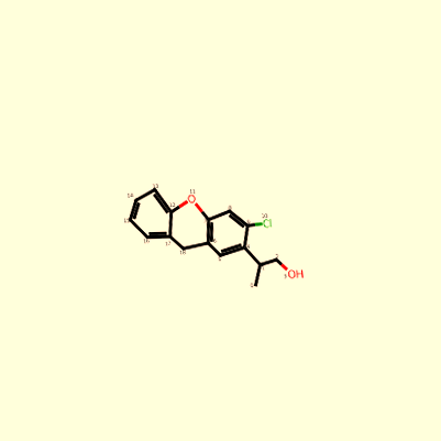 CC(CO)c1cc2c(cc1Cl)Oc1ccccc1C2